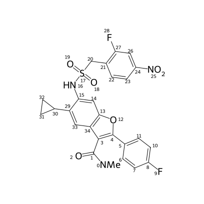 CNC(=O)c1c(-c2ccc(F)cc2)oc2cc(NS(=O)(=O)Cc3ccc([N+](=O)[O-])cc3F)c(C3CC3)cc12